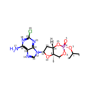 CC(C)O[P@]1(=O)OC[C@@]2(C)O[C@@H](n3cnc4c(N)nc(Cl)nc43)C[C@@H]2O1